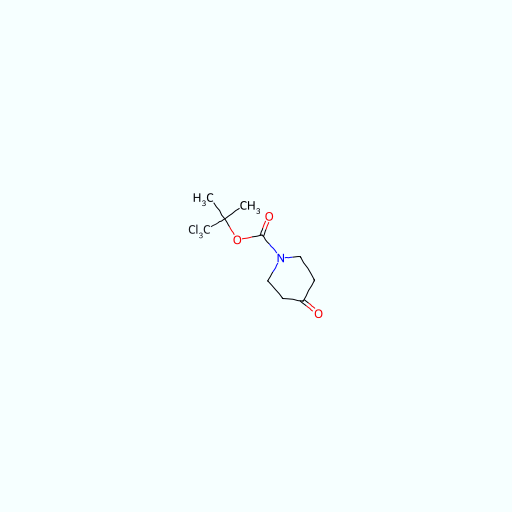 CC(C)(OC(=O)N1CCC(=O)CC1)C(Cl)(Cl)Cl